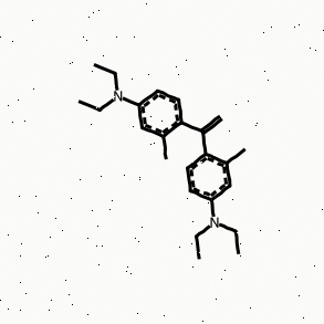 C=C(c1ccc(N(CC)CC)cc1C)c1ccc(N(CC)CC)cc1C